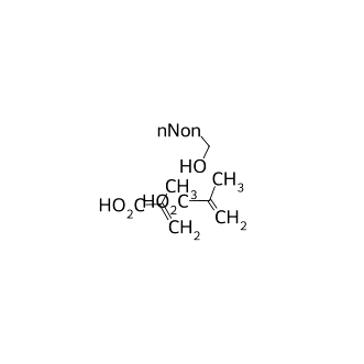 C=C(C)C(=O)O.C=C(C)C(=O)O.CCCCCCCCCCO